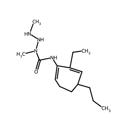 CCCC1C=C(CC)C(NC(=O)N(C)NNC)=CCC1